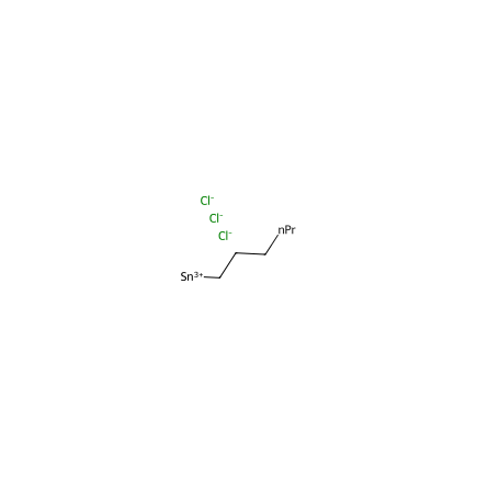 CCCCC[CH2][Sn+3].[Cl-].[Cl-].[Cl-]